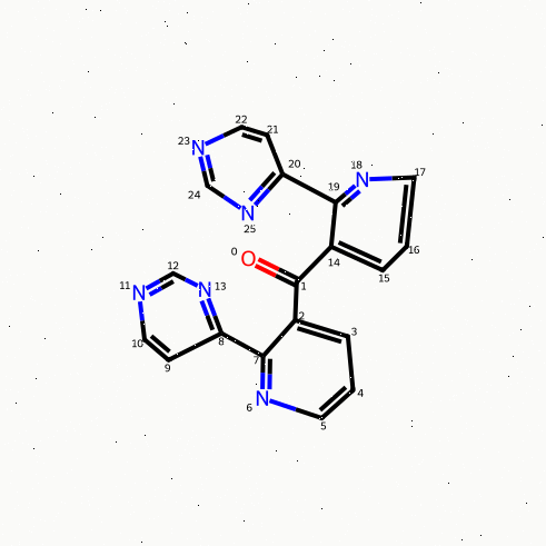 O=C(c1cccnc1-c1ccncn1)c1cccnc1-c1ccncn1